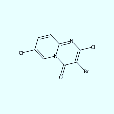 O=c1c(Br)c(Cl)nc2ccc(Cl)cn12